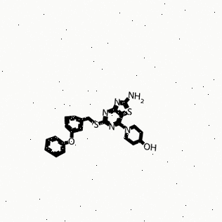 Nc1nc2nc(SCc3cccc(Oc4ccccc4)c3)nc(N3CCC(O)CC3)c2s1